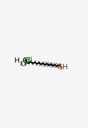 C[Si](Cl)(Cl)CCCCCCCCCCCCCCCCS